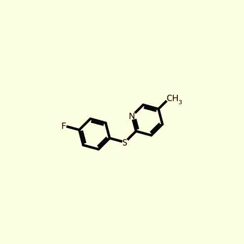 Cc1ccc(Sc2ccc(F)cc2)nc1